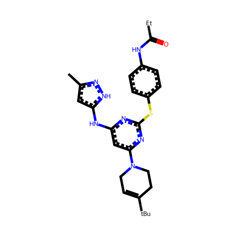 CCC(=O)Nc1ccc(Sc2nc(Nc3cc(C)n[nH]3)cc(N3CC=C(C(C)(C)C)CC3)n2)cc1